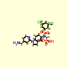 NCc1ccnc(-n2ccc3cc(N(CP(=O)(O)O)S(=O)(=O)c4cc(Cl)cc(Cl)c4)ccc32)c1